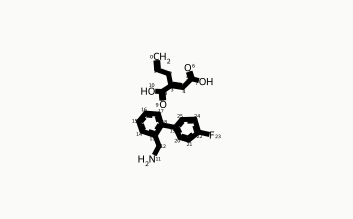 C=CC/C(=C\C(=O)O)C(=O)O.NCc1ccccc1-c1ccc(F)cc1